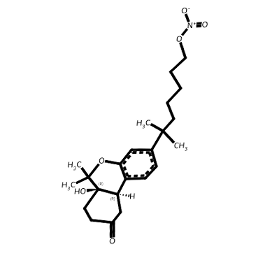 CC(C)(CCCCCO[N+](=O)[O-])c1ccc2c(c1)OC(C)(C)[C@@]1(O)CCC(=O)C[C@H]21